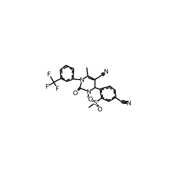 CC1=C(C#N)C(c2ccc(C#N)cc2S(C)(=O)=O)N(C)C(=O)N1c1cccc(C(F)(F)F)c1